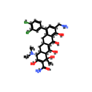 CN(C)[C@H]1C(O)=C(C(N)=O)C(C)(O)C2C(O)=C3C(=O)c4c(O)c(CN)cc(-c5ccc(Cl)c(Cl)c5)c4CC3CC21